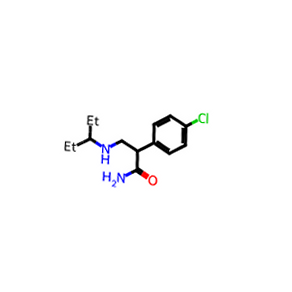 CCC(CC)NCC(C(N)=O)c1ccc(Cl)cc1